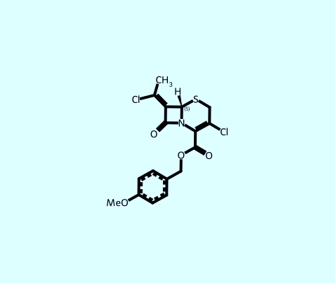 COc1ccc(COC(=O)C2=C(Cl)CS[C@H]3C(=C(C)Cl)C(=O)N23)cc1